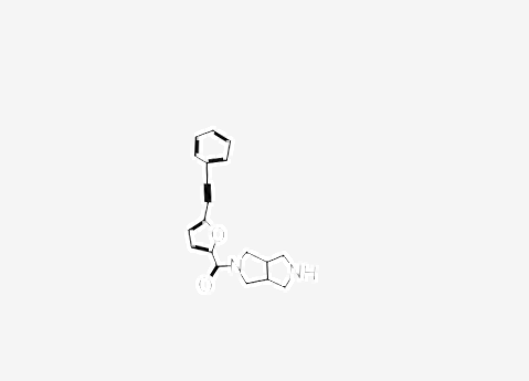 O=C(c1ccc(C#Cc2ccccc2)o1)N1CC2CNCC2C1